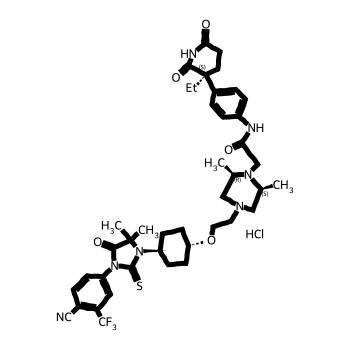 CC[C@@]1(c2ccc(NC(=O)CN3[C@H](C)CN(CCO[C@H]4CC[C@H](N5C(=S)N(c6ccc(C#N)c(C(F)(F)F)c6)C(=O)C5(C)C)CC4)C[C@@H]3C)cc2)CCC(=O)NC1=O.Cl